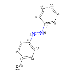 CCc1ccc(/N=N/c2ccccc2)cc1